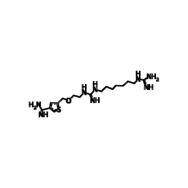 N=C(N)NCCCCCCCNC(=N)NCCOCc1cc(C(=N)N)cs1